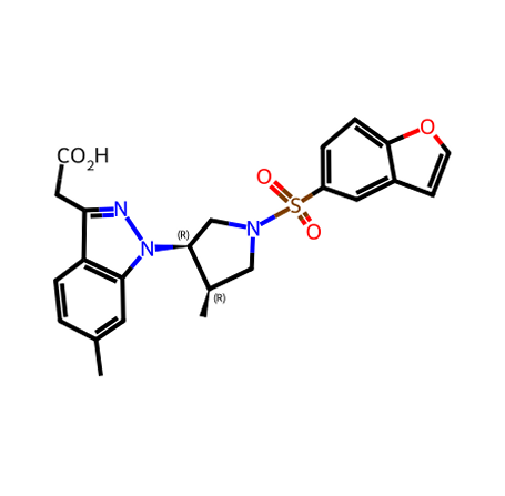 Cc1ccc2c(CC(=O)O)nn([C@H]3CN(S(=O)(=O)c4ccc5occc5c4)C[C@H]3C)c2c1